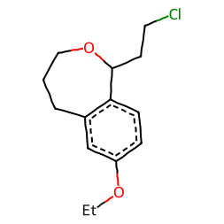 CCOc1ccc2c(c1)CCCOC2CCCl